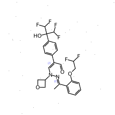 C/C(=N\N(/C=C(\C=O)c1ccc(C(O)(C(F)F)C(F)F)cc1)C1COC1)c1ccccc1OCC(F)F